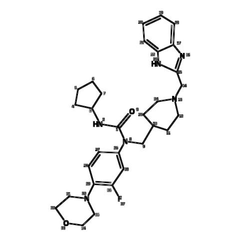 O=C(NC1CCCC1)N(CC1CCN(Cc2nc3ccccc3[nH]2)CC1)c1ccc(N2CCOCC2)c(F)c1